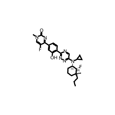 CCC[C@]1(C)CCC[C@H](N(c2cnc(-c3ccc(-c4nc(=O)n(C)cc4F)cc3O)nn2)C2CC2)[C@@H]1F